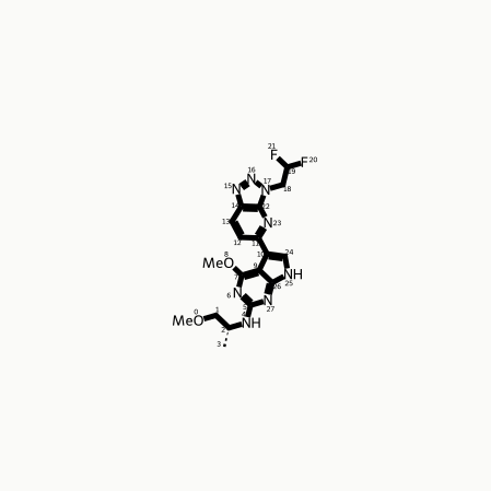 COC[C@@H](C)Nc1nc(OC)c2c(-c3ccc4nnn(CC(F)F)c4n3)c[nH]c2n1